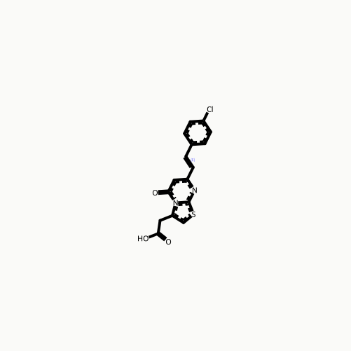 O=C(O)Cc1csc2nc(/C=C/c3ccc(Cl)cc3)cc(=O)n12